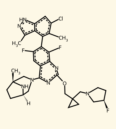 Cc1c(Cl)cc2[nH]nc(C)c2c1-c1c(F)cc2c(N3C[C@H]4CC[C@](C)(C3)N4)nc(OCC3(CN4CC[C@@H](F)C4)CC3)nc2c1F